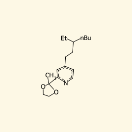 CCCCC(CC)CCc1ccnc(C2(C)OCCO2)c1